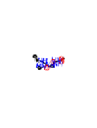 CC(C)(C)OC(=O)NCCNC(=O)c1cccc(C(=O)NC(CCCCN[C@@H]2C[C@H]2c2ccccc2)C(=O)NCc2ccccc2)c1